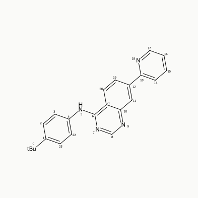 CC(C)(C)c1ccc(Nc2ncnc3cc(-c4ccccn4)ccc23)cc1